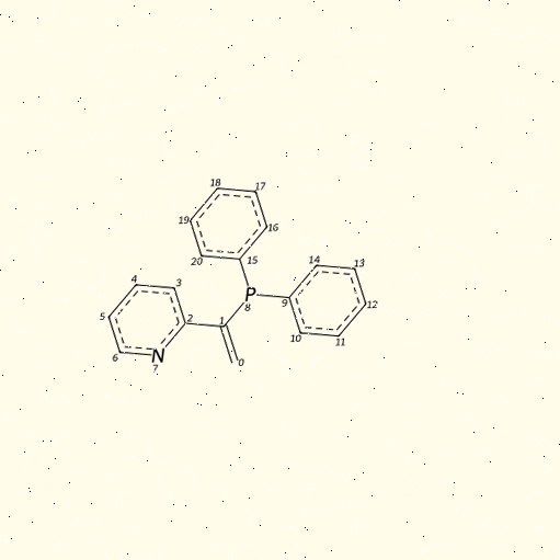 C=C(c1ccccn1)P(c1ccccc1)c1ccccc1